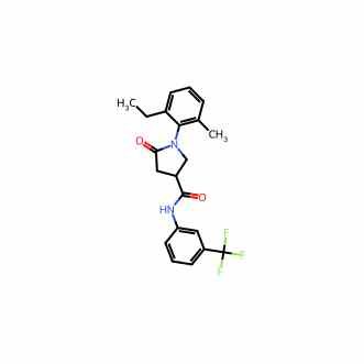 CCc1cccc(C)c1N1CC(C(=O)Nc2cccc(C(F)(F)F)c2)CC1=O